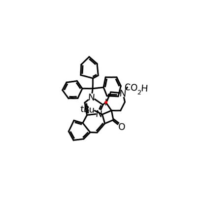 CC(C)(C)C1/C(=C\c2ccccc2-c2cn(C(c3ccccc3)(c3ccccc3)c3ccccc3)c(I)n2)C(=O)C12CCN(C(=O)O)CC2